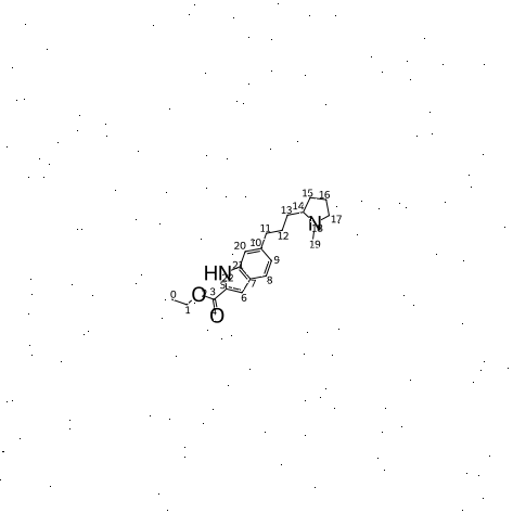 CCOC(=O)c1cc2ccc(CCCC3CCCN3C)cc2[nH]1